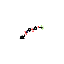 Cc1ccc(CCOC(=O)/C=C/c2ccc(OC(=O)c3ccc(OCCCC(F)(F)F)cc3)cc2)c(C)c1